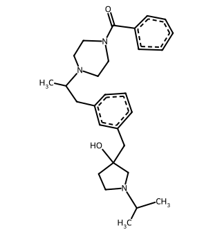 CC(C)N1CCC(O)(Cc2cccc(CC(C)N3CCN(C(=O)c4ccccc4)CC3)c2)C1